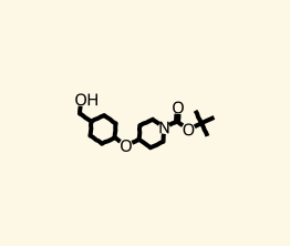 CC(C)(C)OC(=O)N1CCC(OC2CCC(CO)CC2)CC1